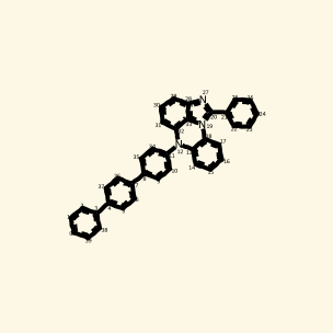 c1ccc(-c2ccc(-c3ccc(N4c5ccccc5-n5c(-c6ccccc6)nc6cccc4c65)cc3)cc2)cc1